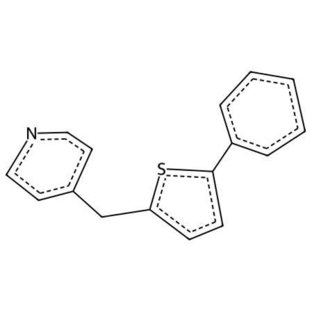 c1ccc(-c2ccc(Cc3ccncc3)s2)cc1